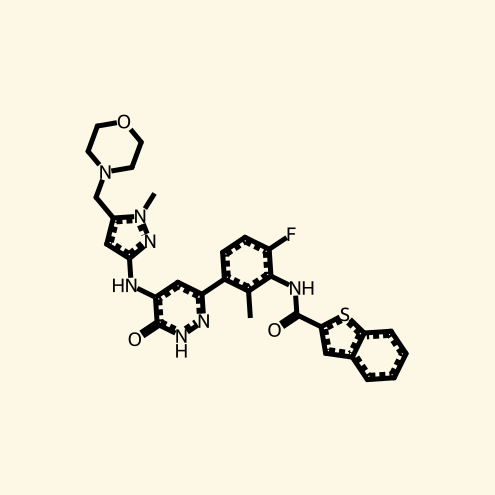 Cc1c(-c2cc(Nc3cc(CN4CCOCC4)n(C)n3)c(=O)[nH]n2)ccc(F)c1NC(=O)c1cc2ccccc2s1